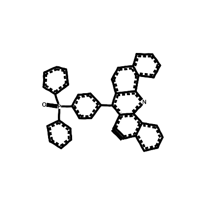 O=P(c1ccccc1)(c1ccccc1)c1ccc(-c2c3c#cc4ccccc4c3nc3c2ccc2ccccc23)cc1